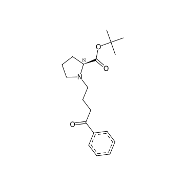 CC(C)(C)OC(=O)[C@@H]1CCCN1CCCC(=O)c1ccccc1